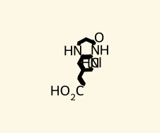 Cl.O=C(O)/C=C/c1cnc2c(c1)NCCC(=O)N2